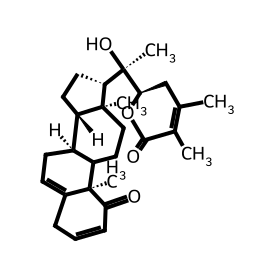 CC1=C(C)C(=O)O[C@@H]([C@](C)(O)[C@H]2CC[C@H]3[C@@H]4CC=C5CC=CC(=O)[C@]5(C)C4CC[C@]23C)C1